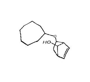 OC1C2C=CC1C(OC1CCCCCCC1)C2